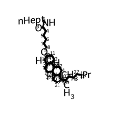 CCCCCCCNC(=O)CCCCCO[C@H]1CC[C@@]2(C)C(=CCC3[C@@H]4CC[C@H]([C@H](C)CCCC(C)C)[C@@]4(C)CC[C@@H]32)C1